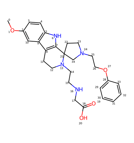 COc1ccc2[nH]c3c(c2c1)CCN(CCNCC(=O)O)C31CCN(CCOc2ccccc2)C1